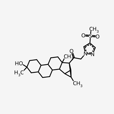 CC1(O)CCC2C(CCC3C2CCC2(C)C3C3C4C3(C)C42C(=O)Cn2cc(S(C)(=O)=O)cn2)C1